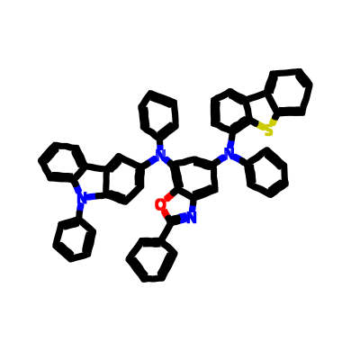 c1ccc(-c2nc3cc(N(c4ccccc4)c4cccc5c4sc4ccccc45)cc(N(c4ccccc4)c4ccc5c(c4)c4ccccc4n5-c4ccccc4)c3o2)cc1